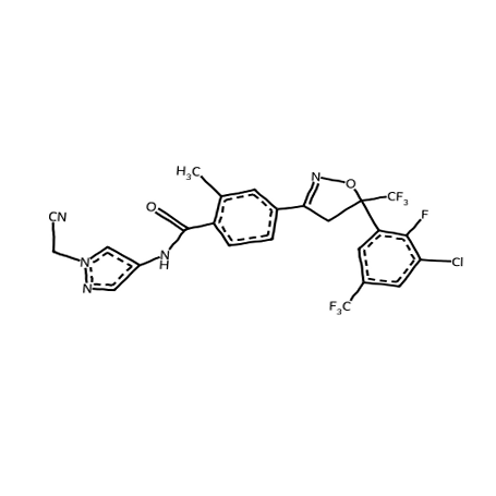 Cc1cc(C2=NOC(c3cc(C(F)(F)F)cc(Cl)c3F)(C(F)(F)F)C2)ccc1C(=O)Nc1cnn(CC#N)c1